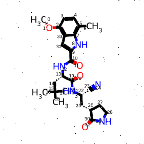 COc1ccc(C)c2[nH]c(C(=O)N[C@@H](CC(C)(C)C)C(=O)N[C@H](C#N)C[C@@H]3CCNC3=O)cc12